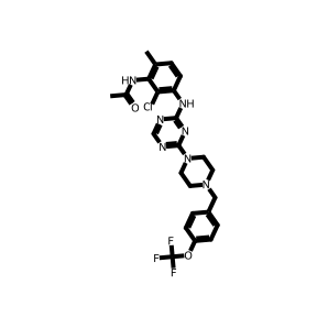 CC(=O)Nc1c(C)ccc(Nc2ncnc(N3CCN(Cc4ccc(OC(F)(F)F)cc4)CC3)n2)c1Cl